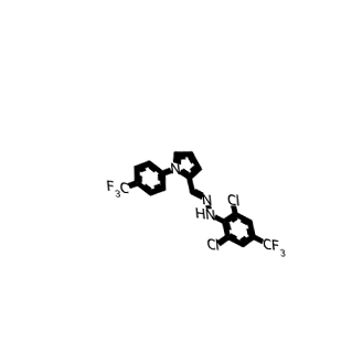 FC(F)(F)c1ccc(-n2cccc2/C=N/Nc2c(Cl)cc(C(F)(F)F)cc2Cl)cc1